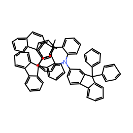 CC1(C)c2ccc3ccccc3c2-c2cccc(N(c3ccc4c(c3)C(c3ccccc3)(c3ccccc3)c3ccccc3-4)c3ccccc3-c3cccc(C4(c5ccccc5)c5ccccc5-c5ccccc54)c3)c21